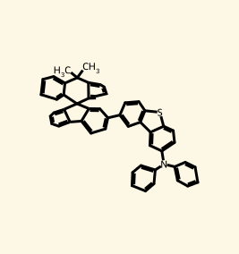 CC1(C)c2ccccc2C2(c3ccccc3-c3ccc(-c4ccc5sc6ccc(N(c7ccccc7)c7ccccc7)cc6c5c4)cc32)c2ccccc21